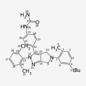 Cc1ccc(C(C)(C)C)cc1N1Cc2nn(-c3c(C)cccc3C)c(-c3ccc(NC(N)=O)cc3)c2C1